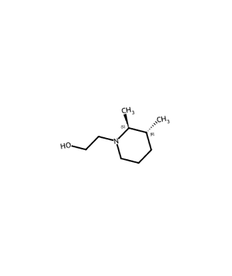 C[C@@H]1CCCN(CCO)[C@H]1C